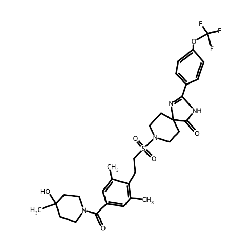 Cc1cc(C(=O)N2CCC(C)(O)CC2)cc(C)c1CCS(=O)(=O)N1CCC2(CC1)N=C(c1ccc(OC(F)(F)F)cc1)NC2=O